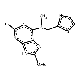 COc1nc2c(N(C)Cc3nccs3)nc(Cl)nc2[nH]1